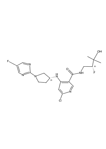 CC(C)(O)[C@H](F)CNC(=O)c1cnc(Cl)cc1N[C@@H]1CCN(c2ncc(F)cn2)C1